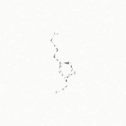 CC(=O)CCCn1cc(CC(C)C)nn1